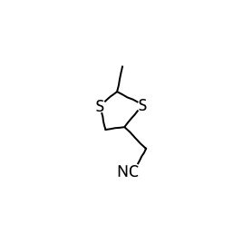 CC1SCC(CC#N)S1